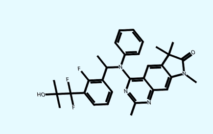 Cc1nc(N(c2ccccc2)C(C)c2cccc(C(F)(F)C(C)(C)O)c2F)c2cc3c(cc2n1)N(C)C(=O)C3(C)C